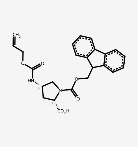 C=CCOC(=O)N[C@H]1C[C@@H](C(=O)O)N(C(=O)OCC2c3ccccc3-c3ccccc32)C1